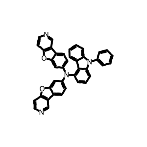 c1ccc(-n2c3ccccc3c3c(N(c4ccc5c(c4)oc4ccncc45)c4ccc5c(c4)oc4ccncc45)cccc32)cc1